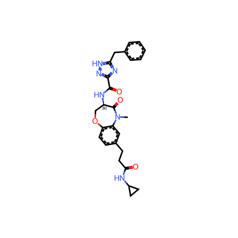 CN1C(=O)[C@H](NC(=O)c2n[nH]c(Cc3ccccc3)n2)COc2ccc(CCC(=O)NC3CC3)cc21